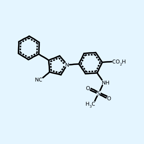 CS(=O)(=O)Nc1cc(-n2cc(C#N)c(-c3ccccc3)c2)ccc1C(=O)O